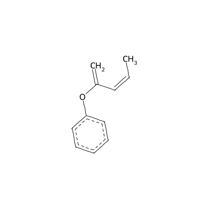 C=C(/C=C\C)Oc1ccccc1